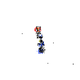 CCS(=O)(=O)c1ccc2c(c1)CCN(CCCSc1nnc(-c3ccc4[nH]ccc4c3)n1C)CC2